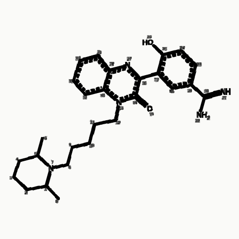 CC1CCCC(C)N1CCCCCn1c(=O)c(-c2cc(C(=N)N)ccc2O)nc2ccccc21